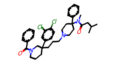 CC(C)CC(=O)N(C)C1(c2ccccc2)CCN(CCCC2(c3ccc(Cl)c(Cl)c3)CCCN(C(=O)c3ccccc3)C2)CC1